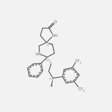 C[C@@H](CC[C@@]1(c2ccccc2)CC[C@]2(CCC(=O)N2)CN1)c1cc(C(F)(F)F)cc(C(F)(F)F)c1